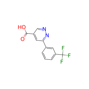 O=C(O)c1cnnc(-c2cccc(C(F)(F)F)c2)c1